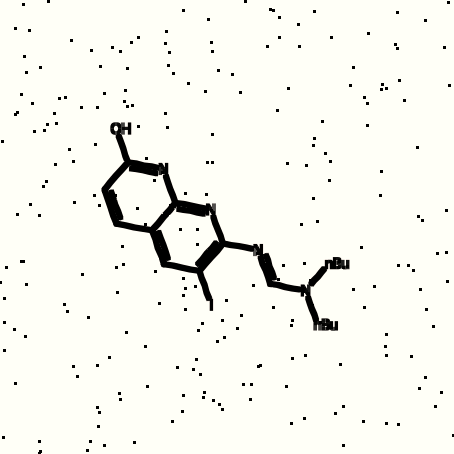 CCCCN(C=Nc1nc2nc(O)ccc2cc1I)CCCC